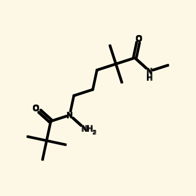 CNC(=O)C(C)(C)CCCN(N)C(=O)C(C)(C)C